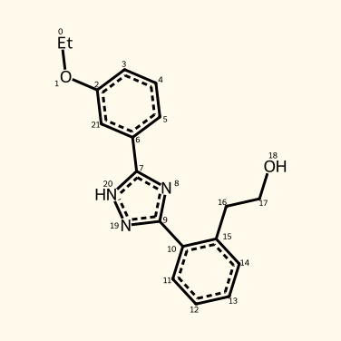 CCOc1cccc(-c2nc(-c3ccccc3CCO)n[nH]2)c1